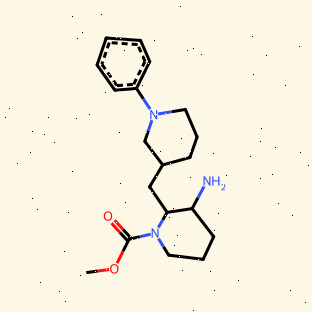 COC(=O)N1CCCC(N)C1CC1CCCN(c2ccccc2)C1